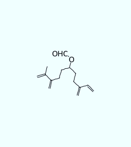 C=CC(=C)CCC(CCC(=C)C(=C)C)OC=O